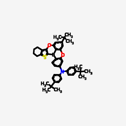 CC(C)(C)c1ccc(N(c2ccc(C(C)(C)C)cc2)c2ccc3c(c2)Oc2cc(C(C)(C)C)cc4c2B3c2sc3c(c2O4)CCCC3)cc1